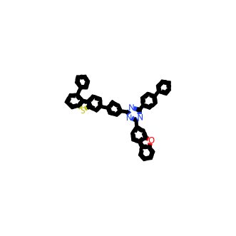 c1ccc(-c2ccc(-c3nc(-c4ccc(-c5ccc6c(c5)sc5cccc(-c7ccccc7)c56)cc4)nc(-c4ccc5c(c4)oc4ccccc45)n3)cc2)cc1